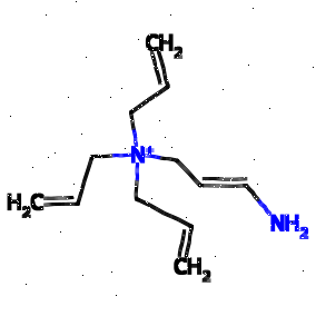 C=CC[N+](CC=C)(CC=C)CC=CN